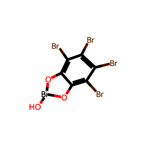 [OH][Bi]1[O]c2c(Br)c(Br)c(Br)c(Br)c2[O]1